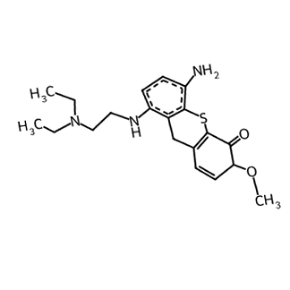 CCN(CC)CCNc1ccc(N)c2c1CC1=C(S2)C(=O)C(OC)C=C1